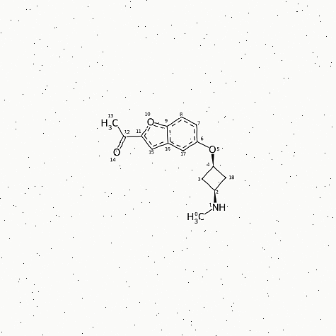 CN[C@H]1C[C@@H](Oc2ccc3oc(C(C)=O)cc3c2)C1